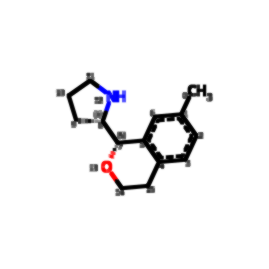 Cc1ccc2c(c1)[C@@H]([C@@H]1CCCN1)OCC2